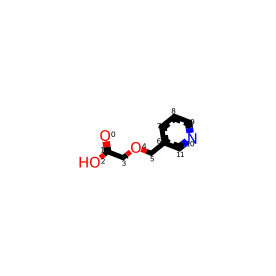 O=C(O)[CH]OCc1cccnc1